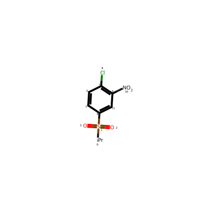 CC(C)S(=O)(=O)c1ccc(Cl)c([N+](=O)[O-])c1